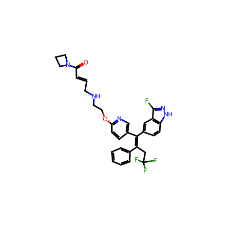 O=C(/C=C/CNCCOc1ccc(/C(=C(/CC(F)(F)F)c2ccccc2)c2ccc3[nH]nc(F)c3c2)cn1)N1CCC1